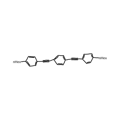 CCCCCCc1ccc(C#Cc2ccc(C#Cc3ccc(CCCCCC)cc3)cc2)cc1